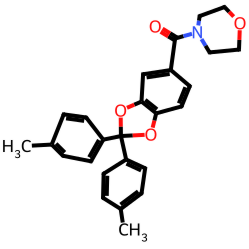 Cc1ccc(C2(c3ccc(C)cc3)Oc3ccc(C(=O)N4CCOCC4)cc3O2)cc1